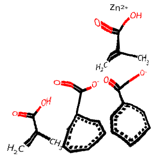 C=C(C)C(=O)O.C=C(C)C(=O)O.O=C([O-])c1ccccc1.O=C([O-])c1ccccc1.[Zn+2]